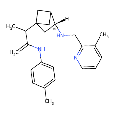 C=C(Nc1ccc(C)cc1)C(C)C12CC(C1)[C@H](NCc1ncccc1C)C2